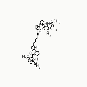 COC(=O)NC(C(=O)N1CCCC1c1ncc(CCCCC#Cc2cnc([C@@H]3CCCN3C(=O)C(NC(=O)OC)C(C)C)[nH]2)[nH]1)C(C)C